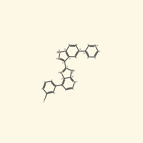 Fc1cccc(-c2ccnc3[nH]c(-c4n[nH]c5ccc(-c6cccnc6)cc45)nc23)c1